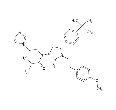 COc1ccc(CCN2C(=O)N(N(CCn3ccnc3)C(=O)C(C)C)CC2c2ccc(C(C)(C)C)cc2)cc1